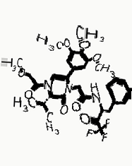 COCC(=O)N1C=C(c2cc(OC)c(OC)c(OC)c2)N(CC(=O)N[C@@H](Cc2ccccc2)C(=O)C(F)(F)F)C(=O)[C@@H]1C(C)C